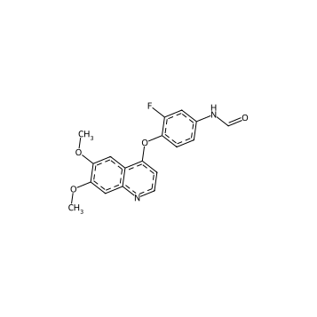 COc1cc2nccc(Oc3ccc(NC=O)cc3F)c2cc1OC